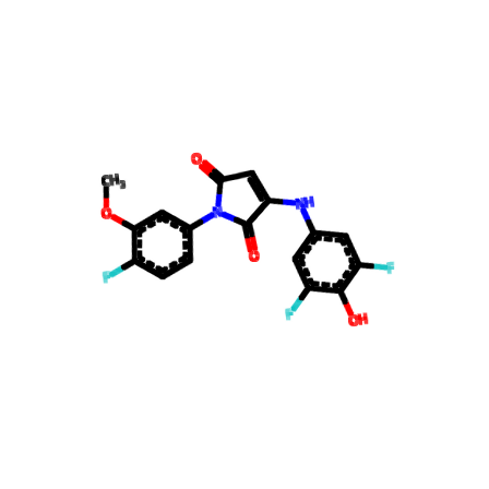 COc1cc(N2C(=O)C=C(Nc3cc(F)c(O)c(F)c3)C2=O)ccc1F